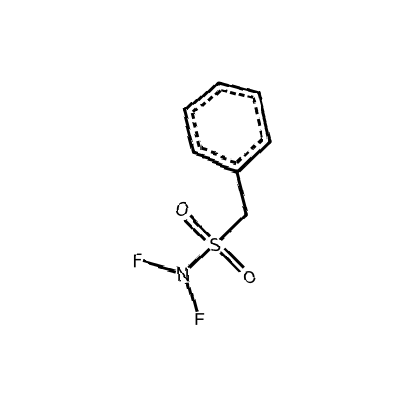 O=S(=O)(Cc1ccccc1)N(F)F